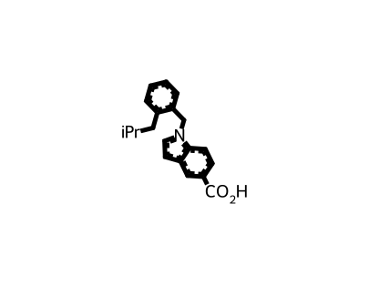 CC(C)Cc1ccccc1Cn1ccc2cc(C(=O)O)ccc21